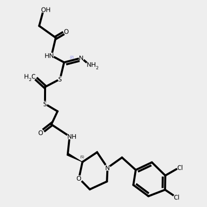 C=C(SCC(=O)NC[C@H]1CN(Cc2ccc(Cl)c(Cl)c2)CCO1)S/C(=N\N)NC(=O)CO